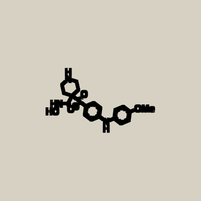 COc1ccc(Nc2ccc(S(=O)(=O)C3(C(=O)NO)CCNCC3)cc2)cc1